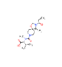 C=CC(=O)N1COC2(CCN(C(=O)N(C)C(C(=O)O)C(C)C)CC2)[C@@H]1C